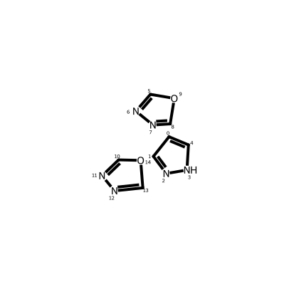 c1cn[nH]c1.c1nnco1.c1nnco1